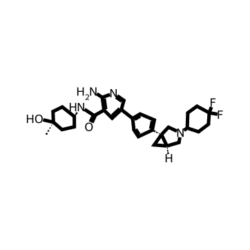 C[C@]1(O)CC[C@H](NC(=O)c2cc(-c3ccc([C@@]45C[C@@H]4CN(C4CCC(F)(F)CC4)C5)cc3)cnc2N)CC1